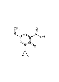 C=Cc1cc(C(=O)O)c(=O)n(C2CC2)c1